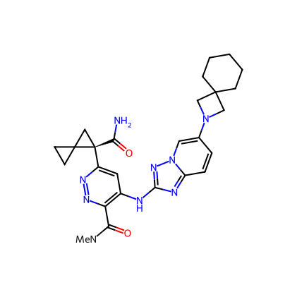 CNC(=O)c1nnc([C@@]2(C(N)=O)CC23CC3)cc1Nc1nc2ccc(N3CC4(CCCCC4)C3)cn2n1